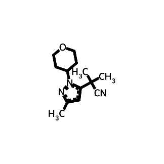 Cc1cc(C(C)(C)C#N)n(C2CCOCC2)n1